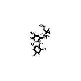 Cc1cc(NS(=O)(=O)C2(CCO)CC2)c(Nc2ccc(I)cc2Cl)n(C)c1=O